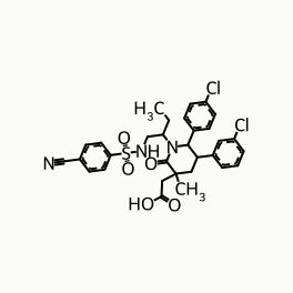 CCC(CNS(=O)(=O)c1ccc(C#N)cc1)N1C(=O)C(C)(CC(=O)O)CC(c2cccc(Cl)c2)C1c1ccc(Cl)cc1